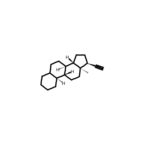 C#C[C@@H]1CC[C@H]2[C@@H]3CCC4CCCC[C@@H]4[C@H]3CC[C@]12C